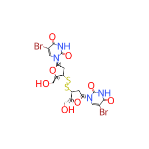 O=c1[nH]c(=O)n([C@H]2CC(SSC3C[C@H](n4cc(Br)c(=O)[nH]c4=O)O[C@@H]3CO)[C@@H](CO)O2)cc1Br